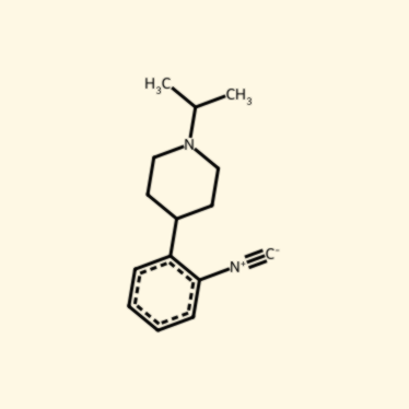 [C-]#[N+]c1ccccc1C1CCN(C(C)C)CC1